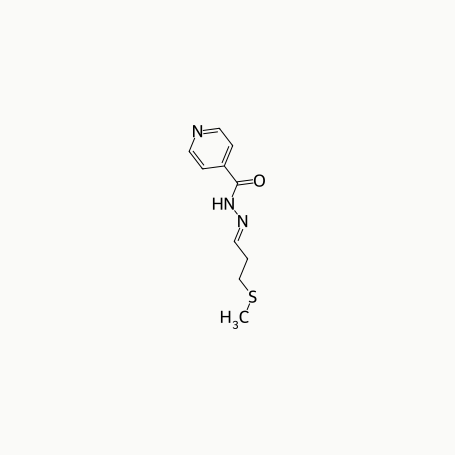 CSCC/C=N/NC(=O)c1ccncc1